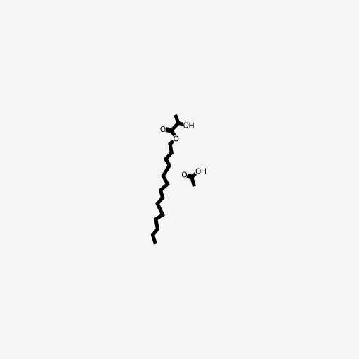 CC(=O)O.CCCCCCCCCCCCCCOC(=O)C(C)O